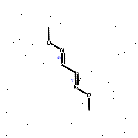 CO/N=C/C=N/OC